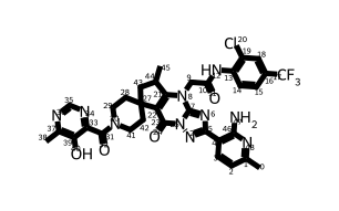 Cc1ccc(-c2nc3n(CC(=O)Nc4ccc(C(F)(F)F)cc4Cl)c4c(c(=O)n3n2)C2(CCN(C(=O)c3ncnc(C)c3O)CC2)CC4C)c(N)n1